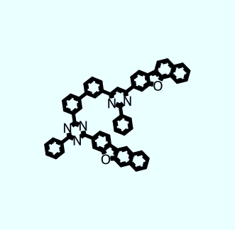 c1ccc(-c2nc(-c3cccc(-c4cccc(-c5nc(-c6ccccc6)nc(-c6ccc7c(c6)oc6cc8ccccc8cc67)n5)c4)c3)cc(-c3ccc4c(c3)oc3c5ccccc5ccc43)n2)cc1